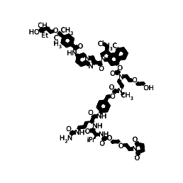 CCC(C)(O)CCOC(C)(C)c1ccc(C(=O)Nc2ccc3nc(C(=O)N4CC(CCl)c5c4cc(OC(=O)N(CCOCCO)CCN(C)C(=O)OCc4ccc(NC(=O)[C@H](CCCNC(N)=O)NC(=O)[C@@H](NC(=O)OCCOCCN6C(=O)C=CC6=O)C(C)C)cc4)c4cccc(C)c54)cn3c2)cc1